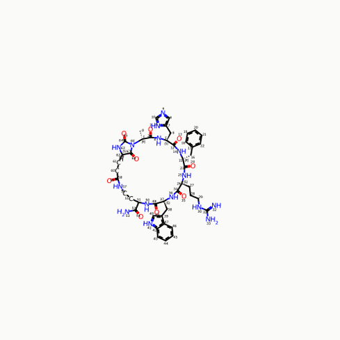 C[C@@H]1C(=O)N[C@@H](Cc2cnc[nH]2)C(=O)N[C@H](Cc2ccccc2)C(=O)N[C@@H](CCCNC(=N)N)C(=O)N[C@@H](Cc2c[nH]c3ccccc23)C(=O)NC(C(N)=O)CCNC(=O)CC[C@@H]2NC(=O)N1C2=O